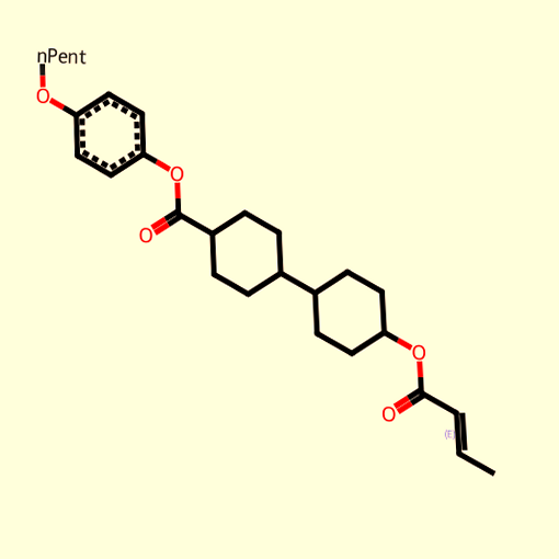 C/C=C/C(=O)OC1CCC(C2CCC(C(=O)Oc3ccc(OCCCCC)cc3)CC2)CC1